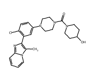 Cc1c(-c2cc(N3CCN(C(=O)N4CCC(O)CC4)CC3)ccc2Cl)nc2ccccn12